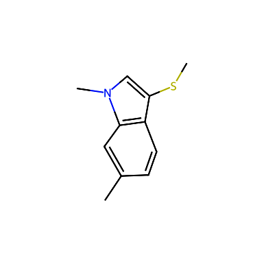 CSc1cn(C)c2cc(C)ccc12